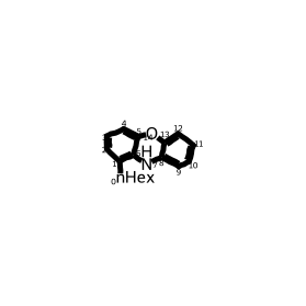 CCCCCCc1cccc2c1Nc1ccccc1O2